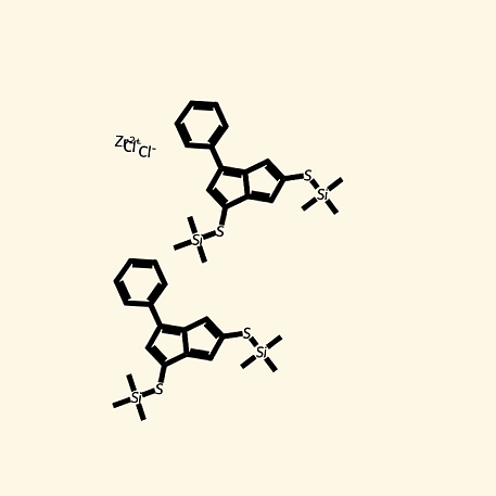 C[Si](C)(C)SC1=CC2=C(c3ccccc3)C=C(S[Si](C)(C)C)C2=C1.C[Si](C)(C)SC1=CC2=C(c3ccccc3)C=C(S[Si](C)(C)C)C2=C1.[Cl-].[Cl-].[Zr+2]